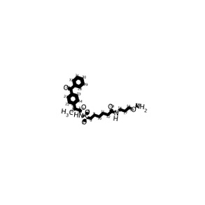 CC(C(=O)NS(=O)(=O)CCCCCC(=O)NCCCON)c1ccc(C(=O)c2ccccc2)cc1